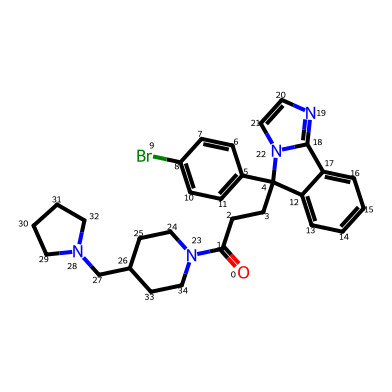 O=C(CCC1(c2ccc(Br)cc2)c2ccccc2-c2nccn21)N1CCC(CN2CCCC2)CC1